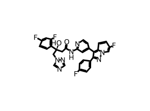 O=C(C[C@](O)(Cn1cncn1)c1ccc(F)cc1F)Nc1cc(-c2c(-c3ccc(F)cc3)nn3cc(F)ccc23)ccn1